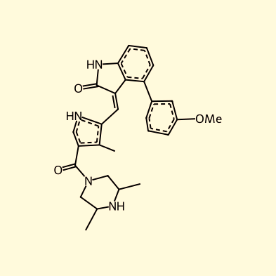 COc1cccc(-c2cccc3c2C(=Cc2[nH]cc(C(=O)N4CC(C)NC(C)C4)c2C)C(=O)N3)c1